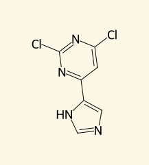 Clc1cc(-c2cnc[nH]2)nc(Cl)n1